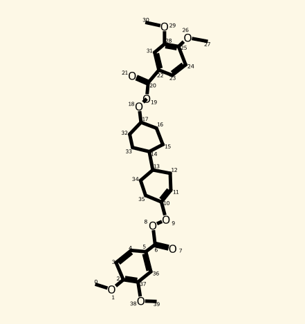 COc1ccc(C(=O)OOC2=CCC(C3CCC(OOC(=O)c4ccc(OC)c(OC)c4)CC3)CC2)cc1OC